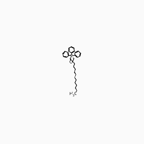 CCCCCCCCCCCCCCP(C=O)(c1ccccc1)(c1ccccc1)c1ccccc1